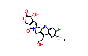 Cc1cc2c(CCO)c3c(nc2cc1F)-c1cc2c(c(=O)n1C3)COC(=O)[C@H]2O